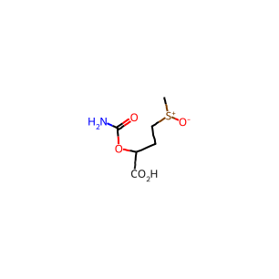 C[S+]([O-])CCC(OC(N)=O)C(=O)O